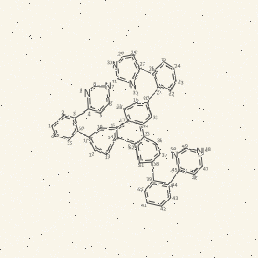 c1ccc(-c2ccncn2)c(-c2ccc3c(c2)c2ccc(-c4ccccc4-c4ccncn4)cc2c2ccc(-c4ccccc4-c4ccncn4)cc32)c1